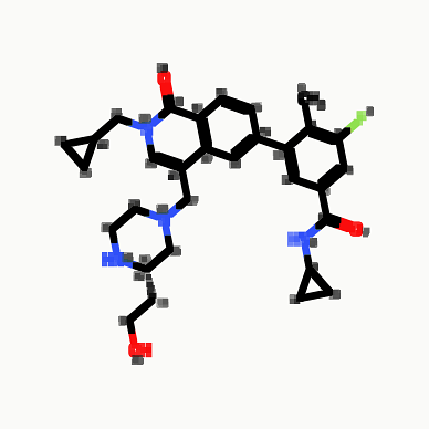 Cc1c(F)cc(C(=O)NC2CC2)cc1-c1ccc2c(=O)n(CC3CC3)cc(CN3CCN[C@@H](CCO)C3)c2c1